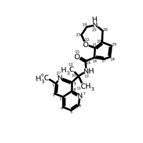 Cc1cc2cccnc2c(C(C)(C)NC(=O)c2cccc3c2OCCNC3)n1